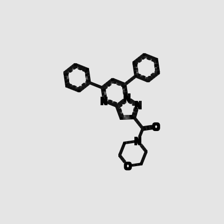 O=C(c1cc2nc(-c3ccccc3)cc(-c3ccccc3)n2n1)N1CCOCC1